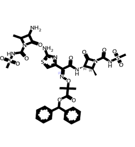 CC1C(N)C(=O)N1C(=O)NS(C)(=O)=O.C[C@H]1[C@H](NC(=O)/C(=N\OC(C)(C)C(=O)OC(c2ccccc2)c2ccccc2)c2csc(N)n2)C(=O)N1C(=O)NS(C)(=O)=O